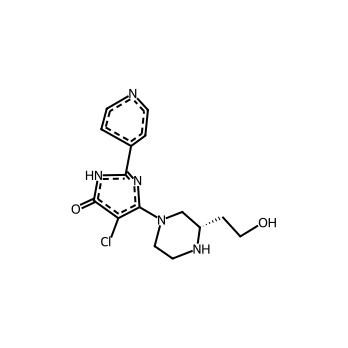 O=c1[nH]c(-c2ccncc2)nc(N2CCN[C@@H](CCO)C2)c1Cl